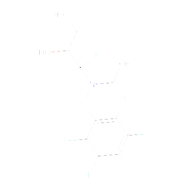 CCC(O)C(F)(F)N(CC)Oc1c(F)c(F)c(F)c(F)c1F